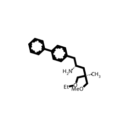 CCOC[C@](C)(COC)C[C@H](N)Cc1ccc(-c2ccccc2)cc1